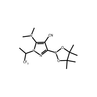 CC(n1nc(B2OC(C)(C)C(C)(C)O2)c(C#N)c1N(C)C)C(F)(F)F